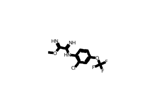 COC(=N)C(=N)Nc1ccc(OC(F)(F)F)cc1Cl